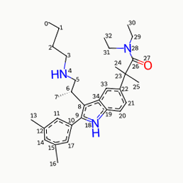 CCCCNC[C@@H](C)c1c(-c2cc(C)cc(C)c2)[nH]c2ccc(C(C)(C)C(=O)N(CC)CC)cc12